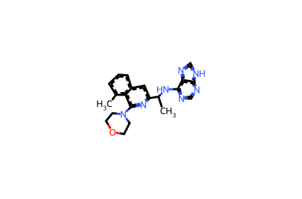 Cc1cccc2cc(C(C)Nc3ncnc4[nH]cnc34)nc(N3CCOCC3)c12